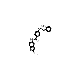 Cc1cc2cc(NC(=O)c3ccc(SN(C)Cc4ccccc4)cc3)ccc2s1